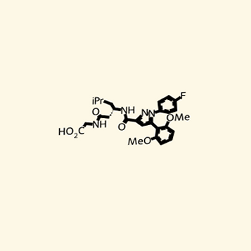 COc1cccc(OC)c1-c1cc(C(=O)N[C@H](CC(=O)NCC(=O)O)CC(C)C)nn1-c1ccc(F)cc1